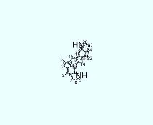 Cc1cc2c(C)c3ccc[nH]c3cc2c1Cc1c(C)cc2c(C)c3ccc[nH]c3cc12